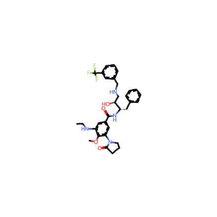 CCNc1cc(C(=O)N[C@@H](Cc2ccccc2)[C@@H](O)CNCc2cccc(C(F)(F)F)c2)cc(N2CCCC2=O)c1OC